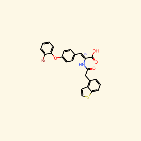 O=C(Cc1cccc2sccc12)N/C(=C\c1ccc(Oc2ccccc2Br)cc1)C(=O)O